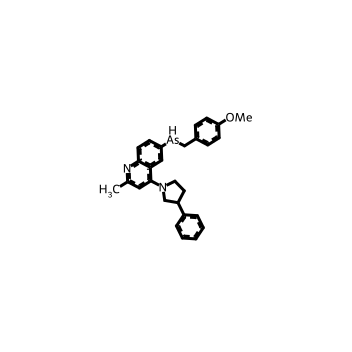 COc1ccc(C[AsH]c2ccc3nc(C)cc(N4CCC(c5ccccc5)C4)c3c2)cc1